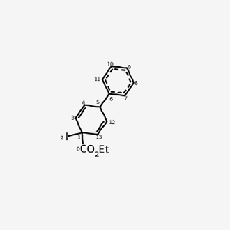 CCOC(=O)C1(I)C=CC(c2ccccc2)C=C1